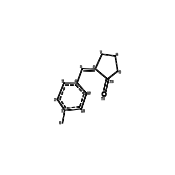 Cc1ccc(C=C2CCCC2=O)cc1